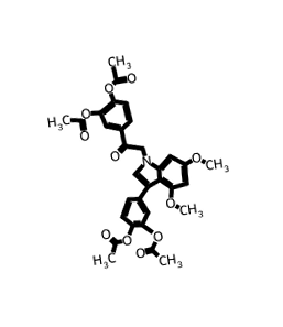 COc1cc(OC)c2c(-c3ccc(OC(C)=O)c(OC(C)=O)c3)cn(CC(=O)c3ccc(OC(C)=O)c(OC(C)=O)c3)c2c1